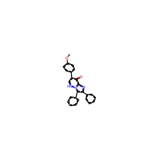 COc1ccc(-c2c[nH]n3c(-c4ccccc4)c(-c4ccccc4)nc3c2=O)cc1